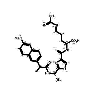 CCC(C)[C@H](NC(=O)C(C)c1ccc2cc(OC)ccc2c1)c1nc(C(=O)N[C@@H](CCCNC(=N)N)C(=O)O)co1